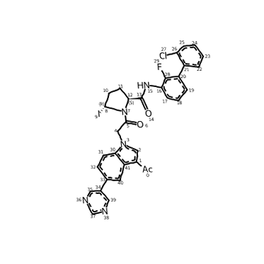 CC(=O)c1cn(CC(=O)N2[C@H](I)CC[C@H]2C(=O)Nc2cccc(-c3ccccc3Cl)c2F)c2ccc(-c3cncnc3)cc12